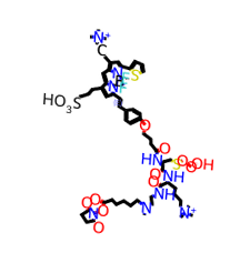 CN(CCCCCC(=O)ON1C(=O)CCC1=O)CCNC(=O)C(CCCC[N+](C)(C)C)NC(=O)C(CSOOO)NC(=O)CCCOc1ccc(/C=C/C2=[N+]3C(=Cc4c(CCC[N+](C)(C)C)cc(-c5cccs5)n4[B-]3(F)F)C(CCCS(=O)(=O)O)=C2)cc1